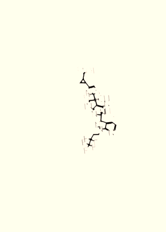 C[C@]1(c2nc(C3CC3C(=O)O)cs2)C(=O)Nc2nc(-c3nn(CCC(F)(F)C(F)(F)F)c4ncccc34)nc(N)c21